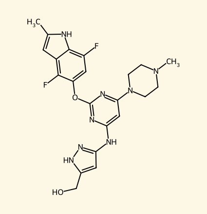 Cc1cc2c(F)c(Oc3nc(Nc4cc(CO)[nH]n4)cc(N4CCN(C)CC4)n3)cc(F)c2[nH]1